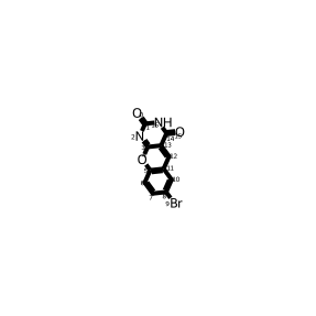 O=c1nc2oc3ccc(Br)cc3cc-2c(=O)[nH]1